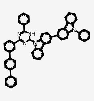 c1ccc(C2=NC(c3cccc(-c4ccc(-c5ccccc5)cc4)c3)=NC(n3c4ccccc4c4cc(-c5ccc6c(c5)c5ccccc5n6-c5ccccc5)ccc43)N2)cc1